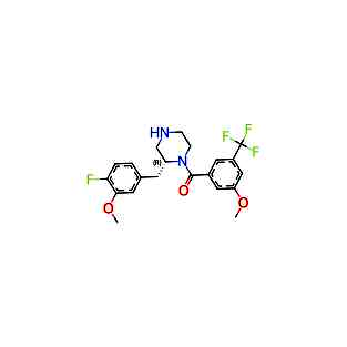 COc1cc(C(=O)N2CCNC[C@H]2Cc2ccc(F)c(OC)c2)cc(C(F)(F)F)c1